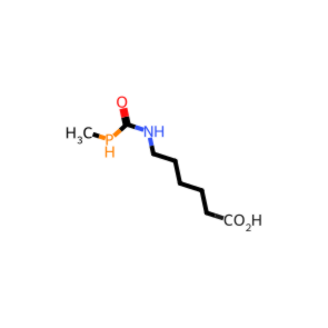 CPC(=O)NCCCCCC(=O)O